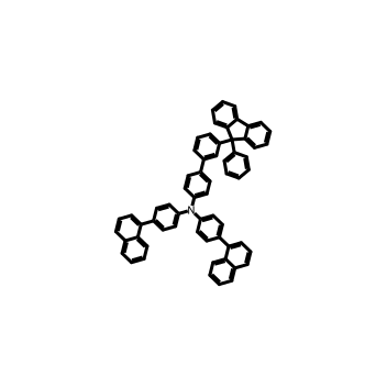 c1ccc(C2(c3cccc(-c4ccc(N(c5ccc(-c6cccc7ccccc67)cc5)c5ccc(-c6cccc7ccccc67)cc5)cc4)c3)c3ccccc3-c3ccccc32)cc1